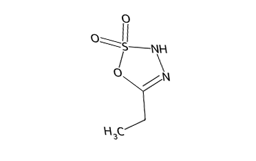 CCC1=NNS(=O)(=O)O1